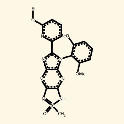 CCOc1cccc(-c2nc3nc4c(nc3n2-c2c(OC)cccc2OC)NS(C)(=O)=N4)n1